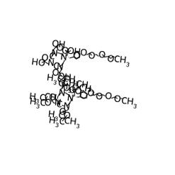 CCOCCOCCOCCOc1ccc(C[C@@H](C(=O)O)N2CCN(CC(=O)O)CCN(CC(=O)O)CCN(CC(=O)O)CC2)cc1.CCOCCOCCOCCOc1ccc(C[C@@H](C(=O)OC(C)(C)C)N2CCN(CC(=O)OC(C)(C)C)CCN(CC(=O)OC(C)(C)C)CCN(CC(=O)OC(C)(C)C)CC2)cc1